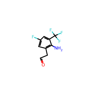 Nc1c(CC=O)cc(F)cc1C(F)(F)F